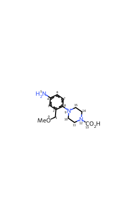 COCc1cc(N)ccc1N1CCN(C(=O)O)CC1